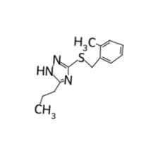 CCCc1nc(SCc2ccccc2C)n[nH]1